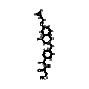 C[C@H](NC(=O)CC#N)c1ccc(CN2Cc3ccc(OCC4CC4)cc3[C@H](F)C2)cc1